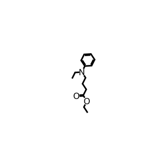 CCOC(=O)CCCN(CC)c1ccccc1